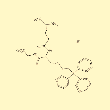 CCOC(=O)CNC(=O)C(CSSC[P+](c1ccccc1)(c1ccccc1)c1ccccc1)NC(=O)CCC(N)C(=O)OCC.[Br-]